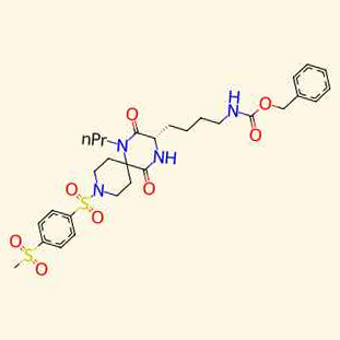 CCCN1C(=O)[C@H](CCCCNC(=O)OCc2ccccc2)NC(=O)C12CCN(S(=O)(=O)c1ccc(S(C)(=O)=O)cc1)CC2